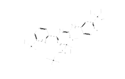 CC1(NOC(C)(C)O)N=C(c2cccc(C(F)(F)F)n2)N=C(Nc2ccnc(C(F)(F)F)c2)N1